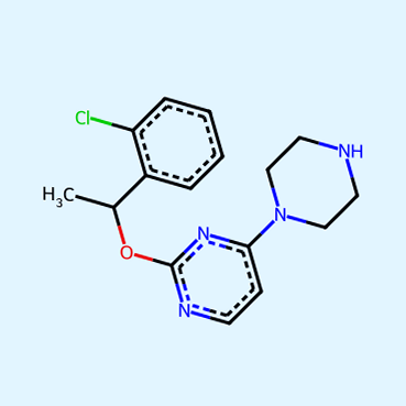 CC(Oc1nccc(N2CCNCC2)n1)c1ccccc1Cl